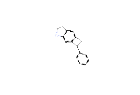 c1ccc(C2Cc3cc4c(cc32)NCC4)cc1